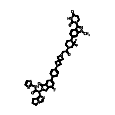 Cn1nc(N2CCC(=O)NC2=O)c2ccc(C3CCN(C(=O)CN4CC5(C4)CN(c4ccc(-c6cc(F)c7c(c6)C(=O)N(C(C(=O)Nc6nccs6)c6ncn8c6CCC8)C7)cc4)C5)CC3(F)F)cc21